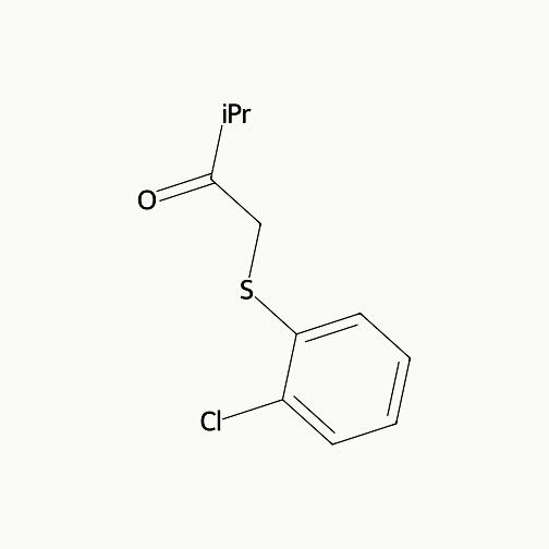 CC(C)C(=O)CSc1ccccc1Cl